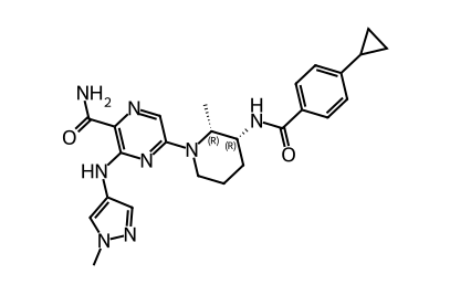 C[C@@H]1[C@H](NC(=O)c2ccc(C3CC3)cc2)CCCN1c1cnc(C(N)=O)c(Nc2cnn(C)c2)n1